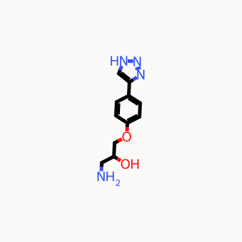 NCC(O)COc1ccc(-c2c[nH]nn2)cc1